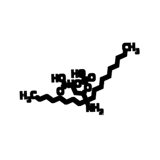 CCCCCCCCCCC(N)(CCCCCCCC)C(CCC(=O)O)OP(=O)(O)O